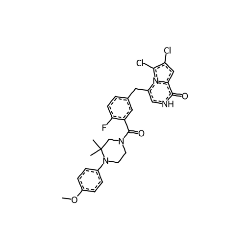 COc1ccc(N2CCN(C(=O)c3cc(Cc4c[nH]c(=O)c5cc(Cl)c(Cl)n45)ccc3F)CC2(C)C)cc1